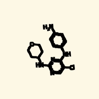 Nc1ccc(Nc2nc(NC3CCOCC3)ncc2Cl)cc1